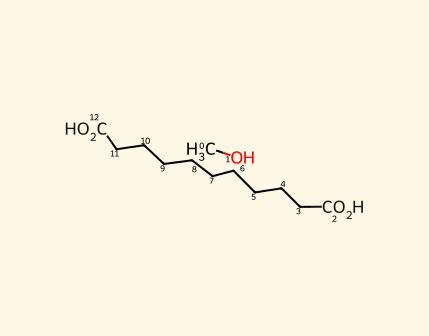 CO.O=C(O)CCCCCCCCCC(=O)O